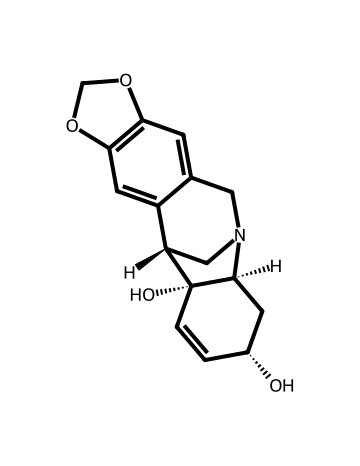 O[C@@H]1C=C[C@]2(O)[C@H](C1)N1Cc3cc4c(cc3[C@@H]2C1)OCO4